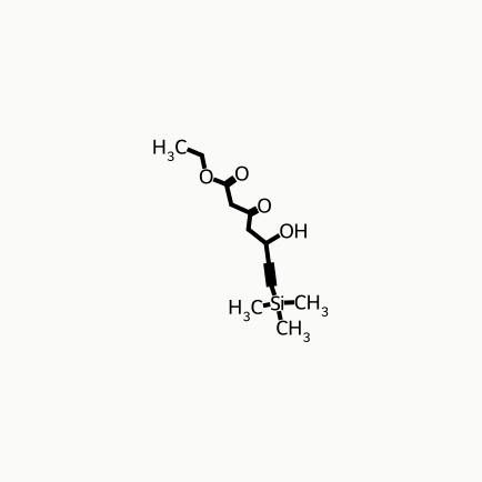 CCOC(=O)CC(=O)CC(O)C#C[Si](C)(C)C